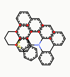 c1ccc(-c2ccccc2N(c2ccccc2-c2cccc3cccc(C4CCCCC4)c23)c2ccccc2-c2cccc3sc4ccccc4c23)cc1